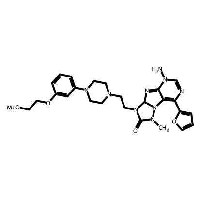 COCCOc1cccc(N2CCN(CCN3C(=O)N(C)N4C5=C(c6ccco6)N=CN(N)C5=NC34)CC2)c1